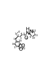 CCC(C=CC(=O)Nc1ccccn1)=Cc1ccc2c(c1)OCO2